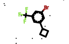 FC(F)(F)c1cc(Br)cc([C]2CCC2)c1